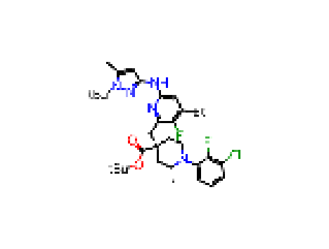 CCc1cc(Nc2cc(C)n(C(C)(C)C)n2)nc(C[C@@]2(C(=O)OC(C)(C)C)CCN(c3cccc(Cl)c3F)[C@H](C)C2)c1F